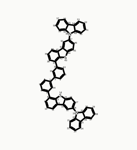 c1cc(-c2cccc(-c3cccc4c3sc3ccc(-n5c6ccccc6c6ccccc65)cc34)c2)cc(-c2cccc3c2sc2ccc(-n4c5ccccc5c5ccccc54)cc23)c1